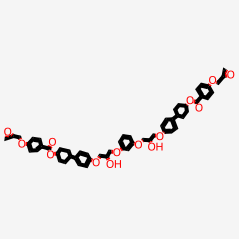 O=C(OC1CCC(c2ccc(OCC(O)COc3cccc(OCC(O)COc4ccc(C5CCC(OC(=O)c6ccc(OCC7CO7)cc6)CC5)cc4)c3)cc2)CC1)c1ccc(OCC2CO2)cc1